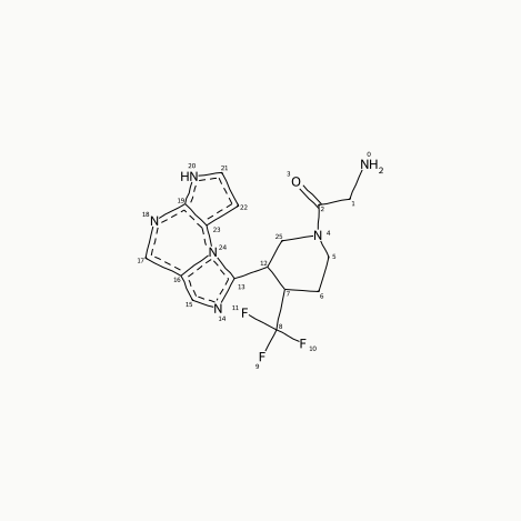 NCC(=O)N1CCC(C(F)(F)F)C(c2ncc3cnc4[nH]ccc4n23)C1